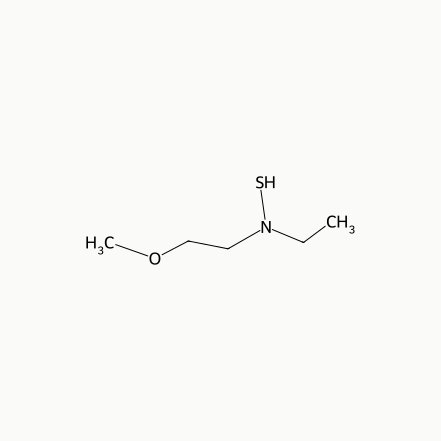 CCN(S)CCOC